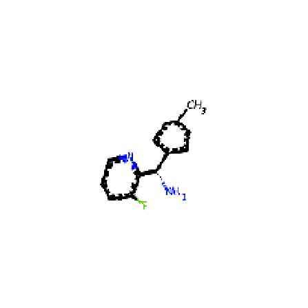 Cc1ccc([C@H](N)c2ncccc2F)cc1